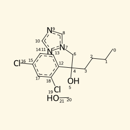 CCCCC(O)(Cn1cncn1)c1ccc(Cl)cc1Cl.CO